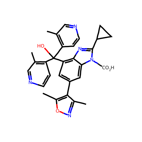 Cc1cnccc1C(O)(c1ccncc1C)c1cc(-c2c(C)noc2C)cc2c1nc(C1CC1)n2C(=O)O